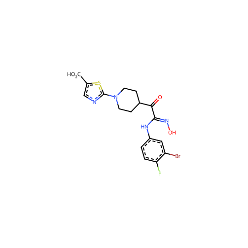 O=C(O)c1cnc(N2CCC(C(=O)/C(=N/O)Nc3ccc(F)c(Br)c3)CC2)s1